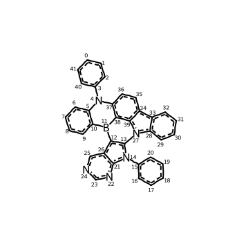 c1ccc(N2c3ccccc3B3c4c(n(-c5ccccc5)c5ncncc45)-n4c5ccccc5c5ccc2c3c54)cc1